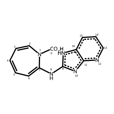 O=C(O)N1C=CC=CC=C1Nc1nc2ncccc2[nH]1